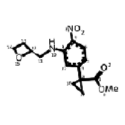 COC(=O)C1(c2ccc([N+](=O)[O-])c(NC[C@@H]3CCO3)c2)CC1